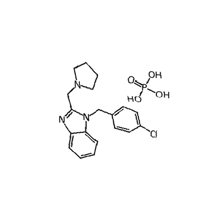 Clc1ccc(Cn2c(CN3CCCC3)nc3ccccc32)cc1.O=P(O)(O)O